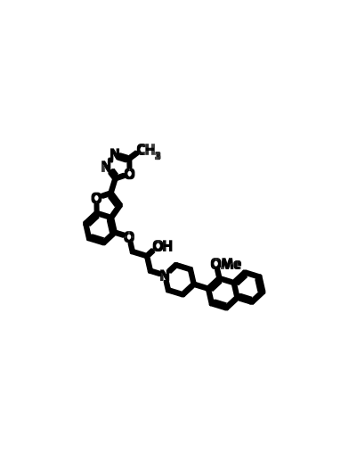 COc1c(C2CCN(CC(O)COc3cccc4oc(-c5nnc(C)o5)cc34)CC2)ccc2ccccc12